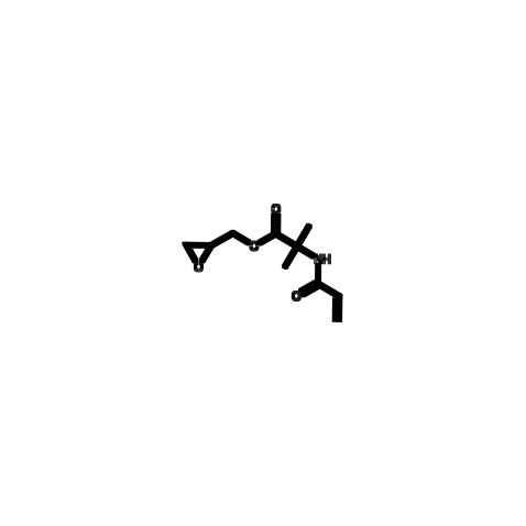 C=CC(=O)NC(C)(C)C(=O)OCC1CO1